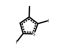 Cc1cc(I)sc1I